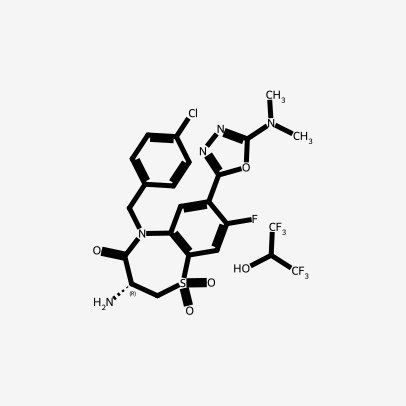 CN(C)c1nnc(-c2cc3c(cc2F)S(=O)(=O)C[C@H](N)C(=O)N3Cc2ccc(Cl)cc2)o1.OC(C(F)(F)F)C(F)(F)F